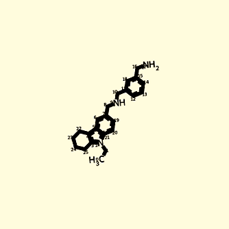 CCn1c2c(c3cc(CNCc4cccc(CN)c4)ccc31)CCCC2